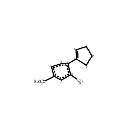 CCOC(=O)c1ccc(C2=CCCC2)c(C(F)(F)F)c1